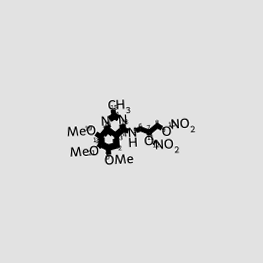 COc1cc2c(NCC(CO[N+](=O)[O-])O[N+](=O)[O-])nc(C)nc2c(OC)c1OC